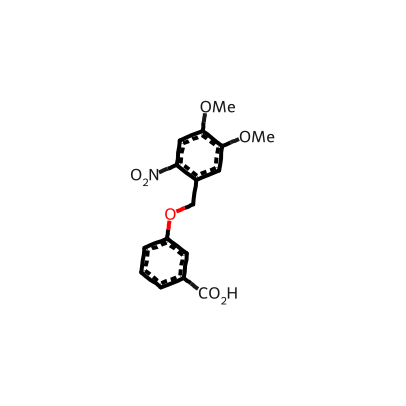 COc1cc(COc2cccc(C(=O)O)c2)c([N+](=O)[O-])cc1OC